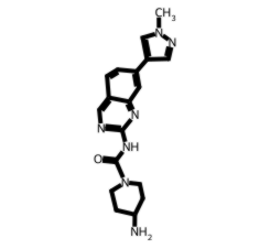 Cn1cc(-c2ccc3cnc(NC(=O)N4CCC(N)CC4)nc3c2)cn1